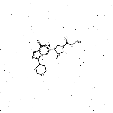 C[C@@H]1CN(C(=O)OC(C)(C)C)C[C@H]1c1cn2c(C3CCOCC3)ncc2c(=O)[nH]1